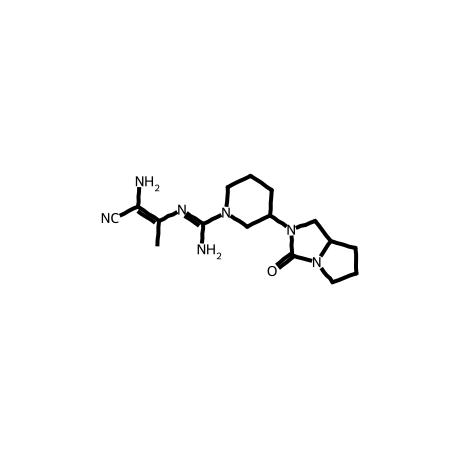 CC(/N=C(\N)N1CCCC(N2CC3CCCN3C2=O)C1)=C(/N)C#N